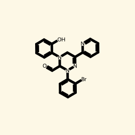 O=CC1N(c2ccccc2O)CC(c2ccccn2)=NN1c1ccccc1Br